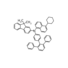 CC1(C)c2ccccc2-c2ccc(N(c3ccc(-c4c(-c5ccccc5)cccc4-c4ccccc4)cc3)c3cccc4c(C5CCCCC5)cccc34)cc21